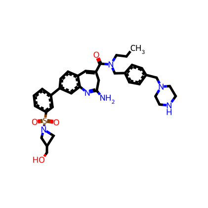 CCCN(Cc1ccc(CN2CCNCC2)cc1)C(=O)C1=Cc2ccc(-c3cccc(S(=O)(=O)N4CC(CO)C4)c3)cc2N=C(N)C1